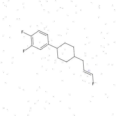 F/C=C/CC1CCC(c2ccc(F)c(F)c2)CC1